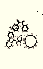 C=C(C(=C)c1ccccc1)c1ccccc1.[CH3][Ti]([CH3])([NH]C(=O)C1CCCCCCCCCCC1)[CH]1C2C=CC=CC2C2CCCCC21.[SiH4]